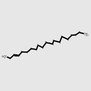 [CH2]C/C=C/CCCCCCCCCCCCCCC[CH2]